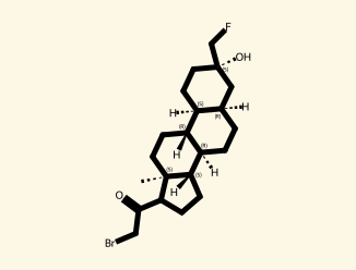 C[C@]12CC[C@H]3[C@@H](CC[C@@H]4C[C@](O)(CF)CC[C@@H]43)[C@@H]1CCC2C(=O)CBr